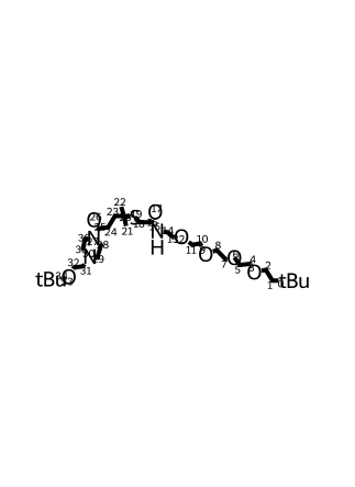 CC(C)(C)CCOCCOCCOCCOCCNC(=O)CSC(C)(C)CCC(=O)N1CCN(CCOC(C)(C)C)CC1